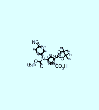 CC(C)(C)OC(=O)N(c1cnc(C#N)cn1)c1cc(B2OC(C)(C)C(C)(C)O2)n(C(=O)O)n1